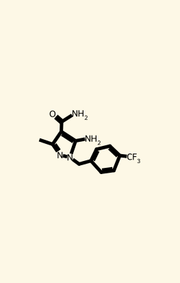 Cc1nn(Cc2ccc(C(F)(F)F)cc2)c(N)c1C(N)=O